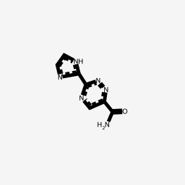 NC(=O)c1cnc(-c2ncc[nH]2)nn1